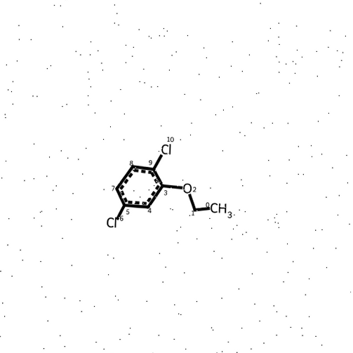 CCOc1cc(Cl)ccc1Cl